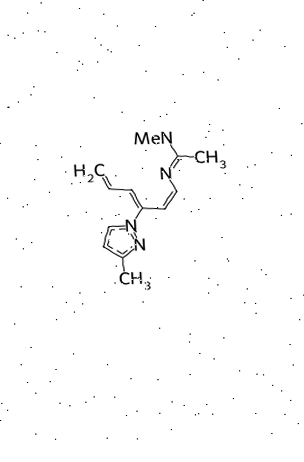 C=C/C=C(/C=C\N=C(/C)NC)n1ccc(C)n1